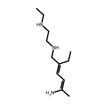 CCNCCNC/C(=C/C=C(/C)N)CC